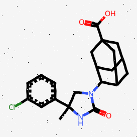 CC1(c2cccc(Cl)c2)CN(C2C3CC4CC2CC(C(=O)O)(C4)C3)C(=O)N1